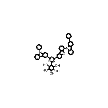 Oc1c(O)c(O)c(-c2nc(-c3ccc4oc5c(-n6c7ccccc7c7ccc(-c8ccccc8)cc76)cccc5c4c3)nc(-c3ccc4c(c3)c3ccccc3n4-c3ccccc3)n2)c(O)c1O